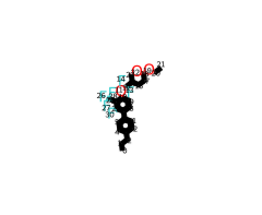 CCCc1ccc(-c2ccc(OC(F)(F)C3CCC(OCC)OC3)c(C(F)(F)F)c2F)cc1